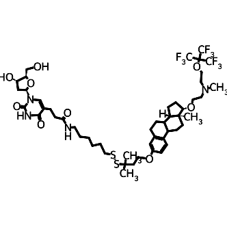 CN(CCO[C@H]1CC[C@H]2C3CCc4cc(OCCC(C)(C)SSCCCCCCNC(=O)CCc5cn([C@H]6C[C@H](O)[C@@H](CO)O6)c(=O)[nH]c5=O)ccc4C3CC[C@]12C)CCOC(C(F)(F)F)(C(F)(F)F)C(F)(F)F